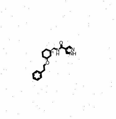 O=C(NC[C@@H]1CCC[C@H](OCCc2ccccc2)C1)c1cn[nH]c1